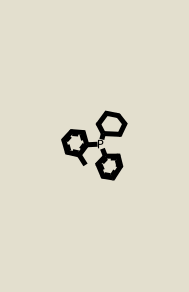 Cc1ccccc1P(c1ccccc1)C1CCCCC1